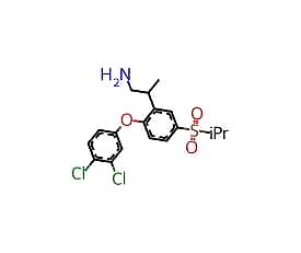 CC(CN)c1cc(S(=O)(=O)C(C)C)ccc1Oc1ccc(Cl)c(Cl)c1